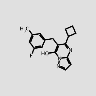 Cc1cc(F)cc(Cc2c(C3CCC3)nc3ccnn3c2O)c1